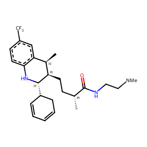 CNCCNC(=O)[C@H](C)CC[C@@H]1[C@H](C)c2cc(C(F)(F)F)ccc2N[C@H]1C1C=CC=CC1